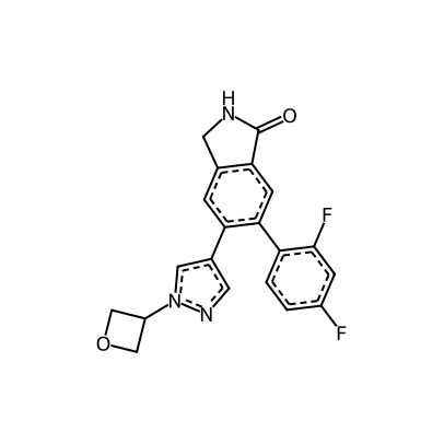 O=C1NCc2cc(-c3cnn(C4COC4)c3)c(-c3ccc(F)cc3F)cc21